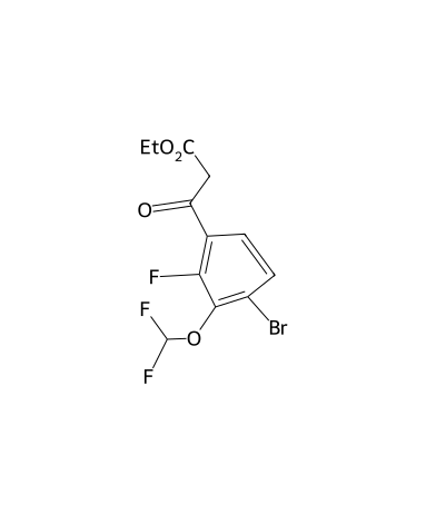 CCOC(=O)CC(=O)c1ccc(Br)c(OC(F)F)c1F